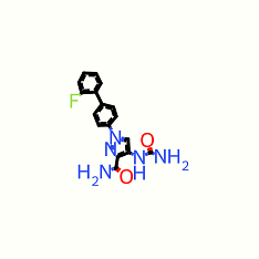 NC(=O)Nc1cn(-c2ccc(-c3ccccc3F)cc2)nc1C(N)=O